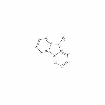 [Cr][CH]1c2ccccc2-c2ccccc21